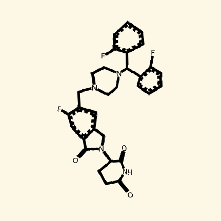 O=C1CCC(N2Cc3cc(CN4CCN(C(c5ccccc5F)c5ccccc5F)CC4)c(F)cc3C2=O)C(=O)N1